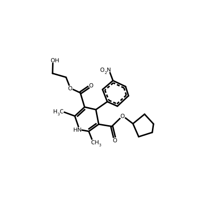 CC1=C(C(=O)OCCO)C(c2cccc([N+](=O)[O-])c2)C(C(=O)OC2CCCC2)=C(C)N1